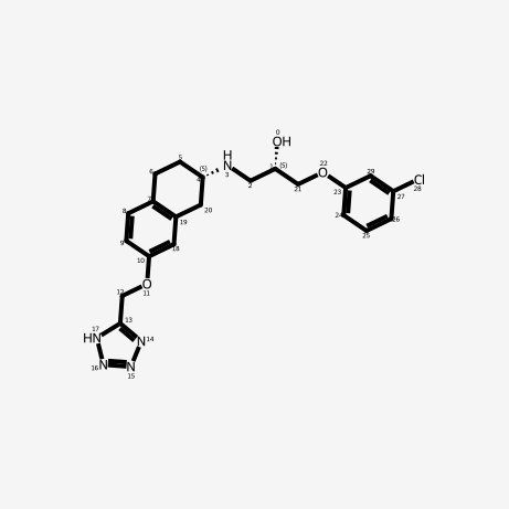 O[C@@H](CN[C@H]1CCc2ccc(OCc3nnn[nH]3)cc2C1)COc1cccc(Cl)c1